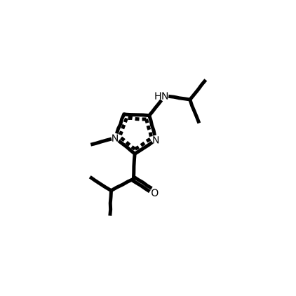 CC(C)Nc1cn(C)c(C(=O)C(C)C)n1